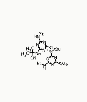 CCNc1nc(Cl)nc(NC(C)(C)C#N)n1.CCNc1nc(NC(C)(C)C)nc(SC)n1